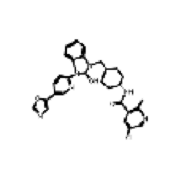 Cc1ncc(Cl)cc1C(=O)N[C@H]1CC[C@H](CN2c3ccccc3N(c3ccc(-c4cnco4)cn3)C2O)CC1